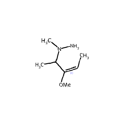 C/C=C(/OC)C(C)N(C)N